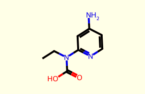 CCN(C(=O)O)c1cc(N)ccn1